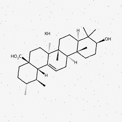 C[C@H]1[C@H](C)CC[C@]2(C(=O)O)CC[C@]3(C)C(=CC[C@@H]4[C@@]5(C)CC[C@H](O)C(C)(C)[C@@H]5CC[C@]43C)[C@H]12.[KH]